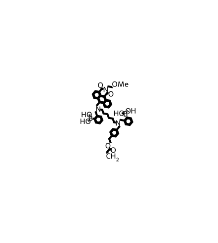 C=CC(=O)OCCc1ccc(CN(CCCCCCN(Cc2ccccc2B(O)O)Cc2c3ccccc3c3c4c(cccc24)C(=O)N(CCOC)C3=O)Cc2ccccc2B(O)O)cc1